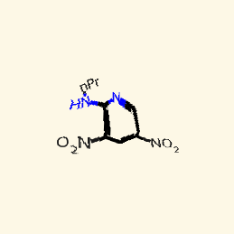 CCCNc1ncc([N+](=O)[O-])cc1[N+](=O)[O-]